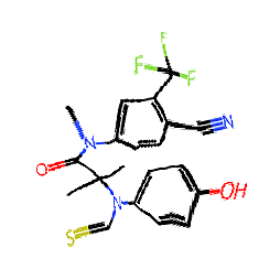 CN(C(=O)C(C)(C)N(C=S)c1ccc(O)cc1)c1ccc(C#N)c(C(F)(F)F)c1